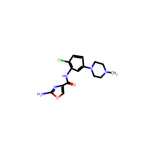 CN1CCN(c2ccc(Cl)c(NC(=O)c3coc(N)n3)c2)CC1